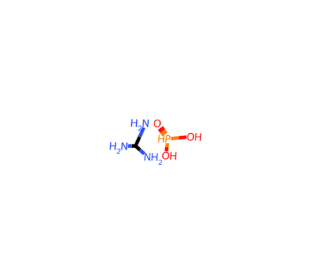 NC(N)N.O=[PH](O)O